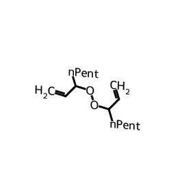 C=CC(CCCCC)OOC(C=C)CCCCC